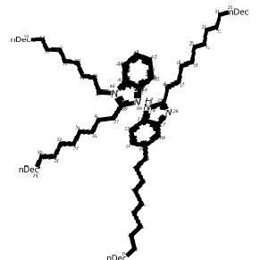 CCCCCCCCCCCCCCCCCCCc1ccc2[nH]c(CCCCCCCCCCCCCCCCCCC)nc2c1.CCCCCCCCCCCCCCCCCCc1nc2ccccc2n1CCCCCCCCCCCCCCCCCC